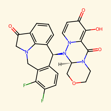 O=C1CN2Cc3c(ccc(F)c3F)[C@H](N3[C@@H]4COCCN4C(=O)c4c(O)c(=O)ccn43)c3cccc1c32